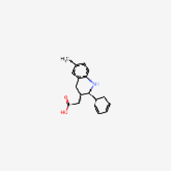 Cc1ccc2c(c1)C[C@H](CC(=O)O)[C@H](C1C=CC=CC1)N2